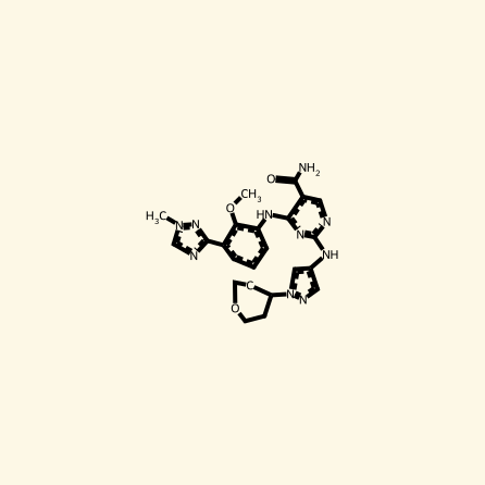 COc1c(Nc2nc(Nc3cnn(C4CCOCC4)c3)ncc2C(N)=O)cccc1-c1ncn(C)n1